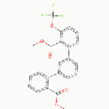 COC(=O)c1ccccc1-c1cccc(-c2cccc(OC(F)(F)F)c2C(=O)OC)c1